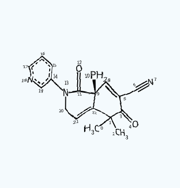 CC1(C)C(=O)C(C#N)=C[C@@]2(P)C(=O)N(c3cccnc3)CC=C12